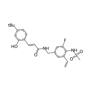 C=Cc1cc(CNC(=O)C=Cc2ccc(C(C)(C)C)cc2O)cc(F)c1NS(C)(=O)=O